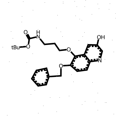 CC(C)(C)OC(=O)NCCCOc1c(OCc2ccccc2)ccc2ncc(O)cc12